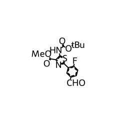 COC(=O)c1nc(-c2cc(C=O)ccc2F)sc1NC(=O)OC(C)(C)C